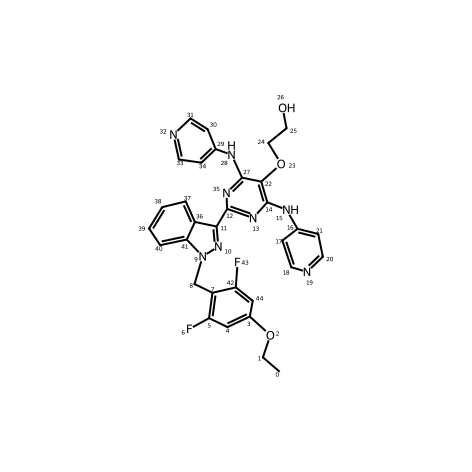 CCOc1cc(F)c(Cn2nc(-c3nc(Nc4ccncc4)c(OCCO)c(Nc4ccncc4)n3)c3ccccc32)c(F)c1